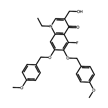 CCn1cc(CO)c(=O)c2c(F)c(OCc3ccc(OC)cc3)c(OCc3ccc(OC)cc3)cc21